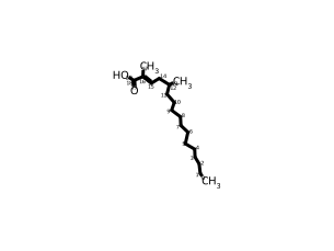 CCCCCCCCCCCCC(C)C/C=C(\C)C(=O)O